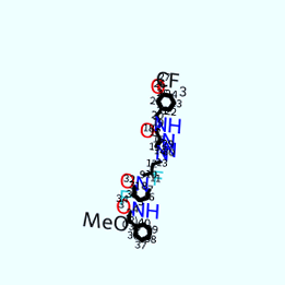 CO[C@@H](C(=O)Nc1ccn(CC(F)CCn2cc(C(=O)NCc3cccc(OC(F)(F)F)c3)nn2)c(=O)c1F)c1ccccc1